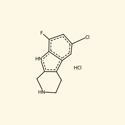 Cl.Fc1cc(Cl)cc2c3c([nH]c12)CNCC3